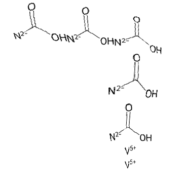 [N-2]C(=O)O.[N-2]C(=O)O.[N-2]C(=O)O.[N-2]C(=O)O.[N-2]C(=O)O.[V+5].[V+5]